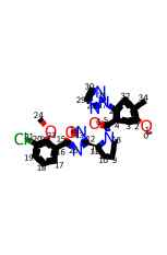 COc1cc(C(=O)N2CCC[C@H]2c2noc(-c3cccc(Cl)c3OC)n2)c(-n2nccn2)cc1C